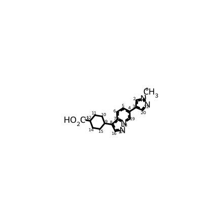 Cn1cc(-c2ccc3c(C4CCC(C(=O)O)CC4)cnn3c2)cn1